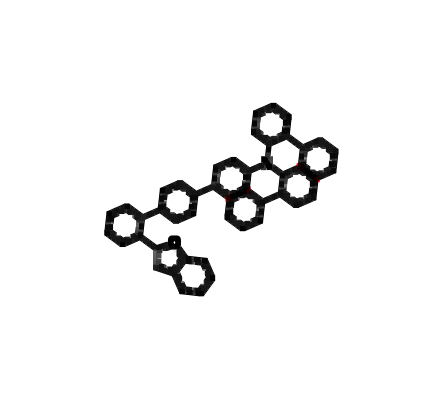 c1ccc(-c2ccccc2N(c2ccc(-c3ccc(-c4ccccc4-c4cc5ccccc5o4)cc3)cc2)c2ccccc2-c2ccccc2)cc1